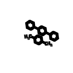 Cc1ccc(C)cc1.c1ccc(-c2ccc(-c3ccccc3)cc2)cc1